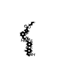 CCCCOC(=O)C1CC(F)(c2cccc(Cc3nnc(-c4cc(Oc5c(F)cc6[nH]ccc6c5C)ccc4F)[nH]3)c2)C1